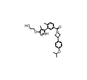 Cc1ccc(C(=O)N2CC(c3ccc(OC(C)C)cc3)C2)cc1-c1[nH]nc(OCCO)c1C